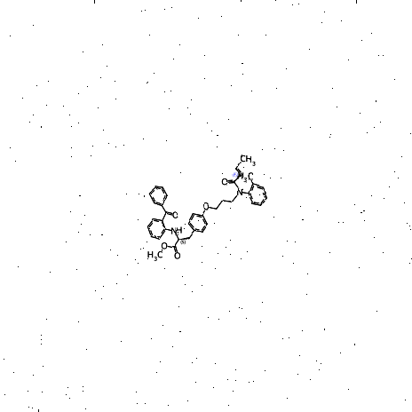 C/C=C/C(=O)N(CCCOc1ccc(C[C@H](Nc2ccccc2C(=O)c2ccccc2)C(=O)OC)cc1)c1ccccc1C